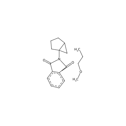 CCCOC.O=C1c2ccccc2C(=O)N1C12CCCC1C2